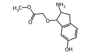 COC(=O)COC1c2cc(O)ccc2CC1N